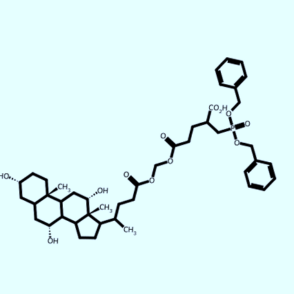 CC(CCC(=O)OCOC(=O)CCC(CP(=O)(OCc1ccccc1)OCc1ccccc1)C(=O)O)C1CCC2C3C(C[C@H](O)[C@]12C)[C@@]1(C)CC[C@@H](O)CC1C[C@H]3O